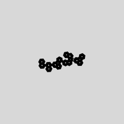 c1ccc2c(c1)-c1cccc3cc(-n4c5ccc6ccccc6c5c5c6cc(-c7cccc8c7-c7cccc9cc(-c%10ccc(-c%11cccc%12ccccc%11%12)c%11ccccc%10%11)cc-8c79)ccc6ccc54)cc-2c13